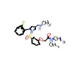 CNCc1cc(-c2ccccc2F)n([S+]([O-])c2cccc(OCC(=O)N(C)C)c2)c1